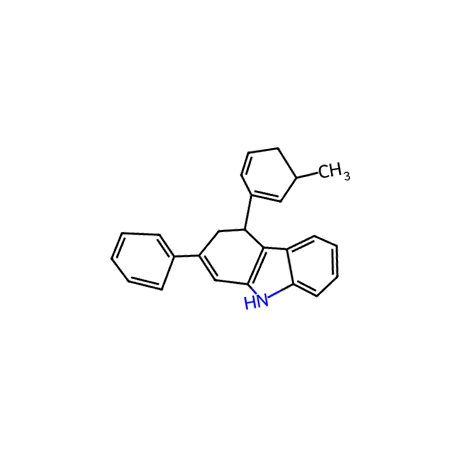 CC1C=C(C2CC(c3ccccc3)=Cc3[nH]c4ccccc4c32)C=CC1